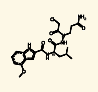 COc1cccc2[nH]c(C(=O)N[C@H](CC(C)C)C(=O)NN(CCC(N)=O)C(=O)CCl)cc12